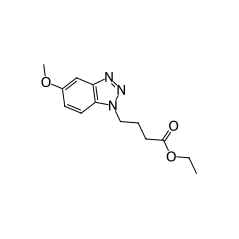 CCOC(=O)CCCn1nnc2cc(OC)ccc21